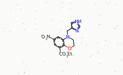 CCOC(=O)c1cc([N+](=O)[O-])cc2c1OCCN2Cc1c[nH]cn1